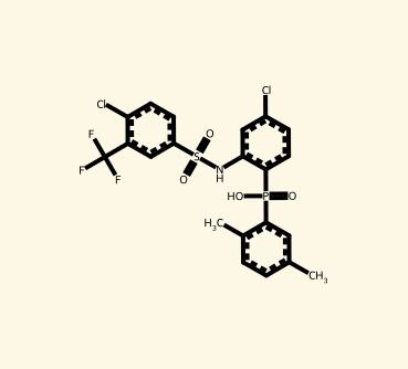 Cc1ccc(C)c(P(=O)(O)c2ccc(Cl)cc2NS(=O)(=O)c2ccc(Cl)c(C(F)(F)F)c2)c1